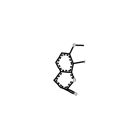 COc1ccc2ccc(=O)oc2c1I